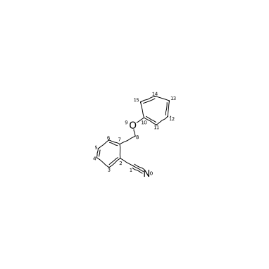 N#Cc1ccccc1COc1c[c]ccc1